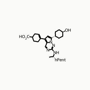 CCCCC[C@H](C)Nc1ncc2c(C3=CCC(C(=O)O)CC3)cc([C@H]3CC[C@H](O)CC3)n2n1